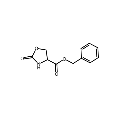 O=C1NC(C(=O)OCc2ccccc2)CO1